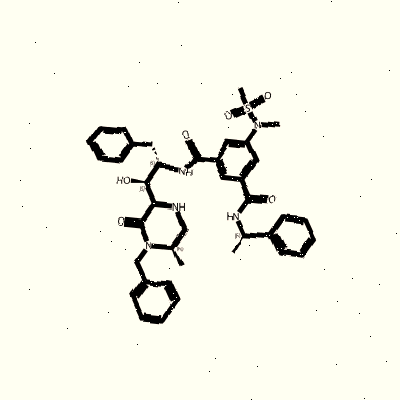 C[C@@H]1CNC([C@@H](O)[C@H](Cc2ccccc2)NC(=O)c2cc(C(=O)N[C@H](C)c3ccccc3)cc(N(C)S(C)(=O)=O)c2)C(=O)N1Cc1ccccc1